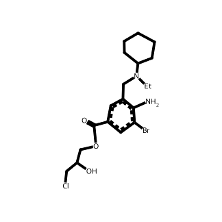 CCN(Cc1cc(C(=O)OCC(O)CCl)cc(Br)c1N)C1CCCCC1